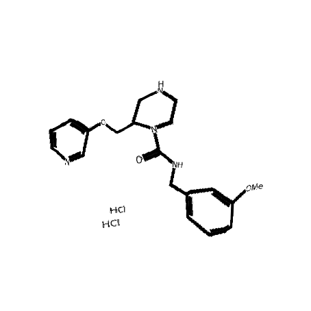 COc1cccc(CNC(=O)N2CCNCC2COc2cccnc2)c1.Cl.Cl